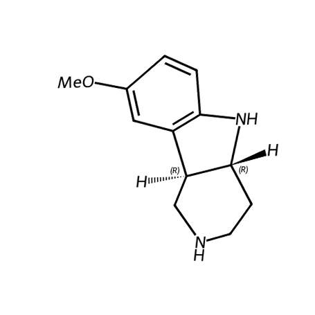 COc1ccc2c(c1)[C@@H]1CNCC[C@H]1N2